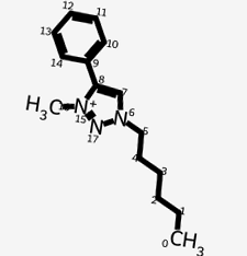 CCCCCCn1cc(-c2ccccc2)[n+](C)n1